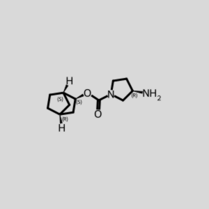 N[C@@H]1CCN(C(=O)O[C@H]2C[C@@H]3CC[C@H]2C3)C1